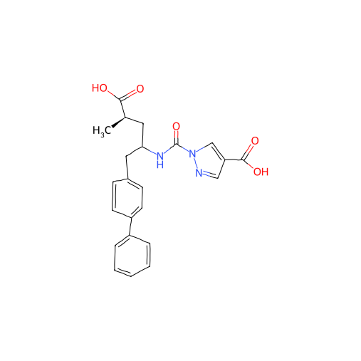 C[C@H](CC(Cc1ccc(-c2ccccc2)cc1)NC(=O)n1cc(C(=O)O)cn1)C(=O)O